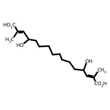 CC(=CC(O)CCCCCCCCC(O)C=C(C)C(=O)O)C(=O)O